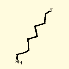 FCCCCCCCS